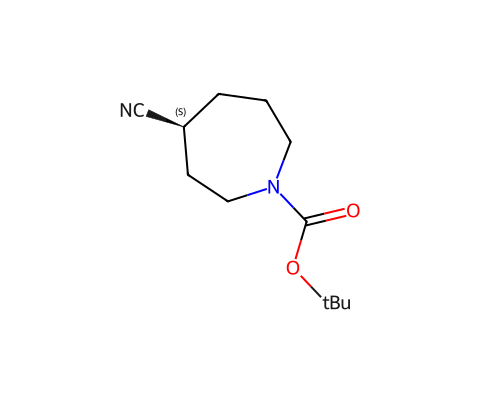 CC(C)(C)OC(=O)N1CCC[C@H](C#N)CC1